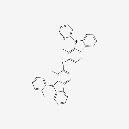 Cc1ccccc1-n1c2ccccc2c2ccc(Oc3ccc4c5ccccc5n(-c5ccccn5)c4c3C)c(C)c21